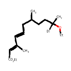 CCOC(=O)/C=C(C)/C=C/CC(C)CCC(C)(CC)OCC